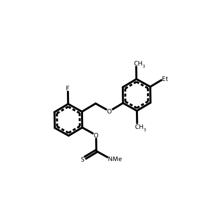 CCc1cc(C)c(OCc2c(F)cccc2OC(=S)NC)cc1C